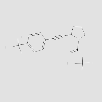 CC(C)(C)OC(=O)N1CCCC1C#Cc1ccc(C(C)(C)C)cc1